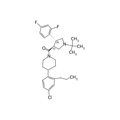 CC[CH]c1cc(Cl)ccc1C1CCN(C(=O)[C@@H]2CN(C(C)(C)C)C[C@H]2c2ccc(F)cc2F)CC1